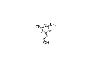 OCCc1cc(Cl)nc(C(F)(F)F)c1